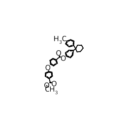 COC(=O)c1ccc(Oc2ccc(C(=O)Oc3ccc(C4(c5ccc(C)cc5)CCCCC4)cc3)cc2)cc1